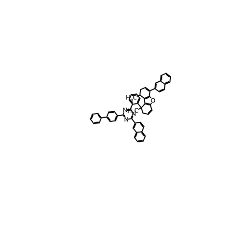 CC1CC=C(c2ccc3ccccc3c2)c2oc3c(c21)C(C)(c1ccccc1-c1nc(-c2ccc(-c4ccccc4)cc2)nc(-c2ccc4ccccc4c2)n1)CC=C3